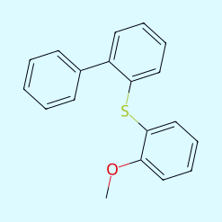 COc1ccccc1Sc1ccccc1-c1ccccc1